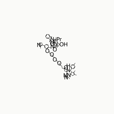 C=C1c2ccccc2CN1[C@H](C(=O)N1CC(O)C[C@H]1C(=O)NCc1ccc(C2=C(C)N=CC2)cc1OCCOCCOCCOCCCC(=O)CC1NC(c2ccc(C)cc2)C2C(C)=C(C)CC2n2c(C)nnc21)C(C)C